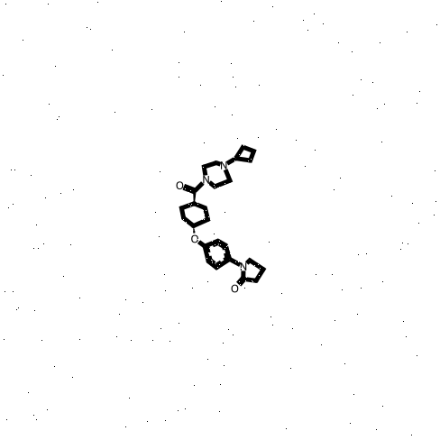 O=C1CCCN1c1ccc(O[C@H]2CC[C@H](C(=O)N3CCN(C4CCC4)CC3)CC2)cc1